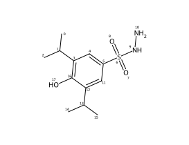 CC(C)c1cc(S(=O)(=O)NN)cc(C(C)C)c1O